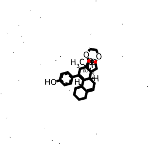 C[C@]12CC(c3ccc(O)cc3)=C3[C@H]4CCCCC4=CC[C@H]3[C@@H]1CC13OCCOC12OCCO3